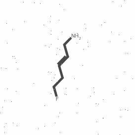 NCC=CCCF